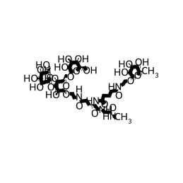 CNC(=O)CNC(=O)[C@H](CCC(=O)NCCO[C@H]1O[C@H](CO[C@H]2O[C@H](CO)[C@@H](O)[C@H](O)[C@@H]2O)[C@@H](O)[C@H](O[C@H]2O[C@H](CO)[C@@H](O)[C@H](O)[C@@H]2O)[C@@H]1O)NC(=O)CCCC(=O)NCCO[C@@H]1O[C@@H](C)[C@@H](O)[C@@H](O)[C@@H]1O